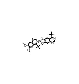 COc1cc2nc[n+](C3Oc4cc5ncnc(C(C)(C)C)c5cc4O3)c(C(C)(C)C)c2cc1OC